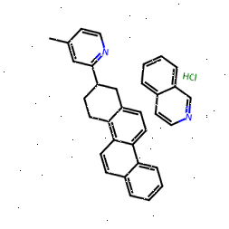 Cc1ccnc(C2CCc3c(ccc4c3ccc3ccccc34)C2)c1.Cl.c1ccc2cnccc2c1